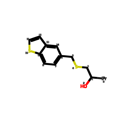 CC(C)C(O)CSCc1ccc2sccc2c1